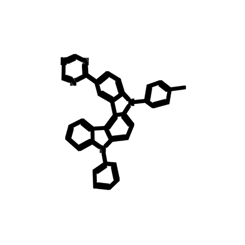 Cc1ccc(-n2c3ccc(-c4ncncn4)cc3c3c4c5ccccc5n(-c5ccccc5)c4ccc32)cc1